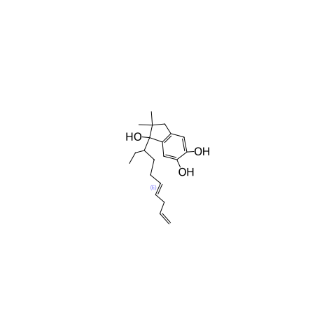 C=CC/C=C/CCC(CC)C1(O)c2cc(O)c(O)cc2CC1(C)C